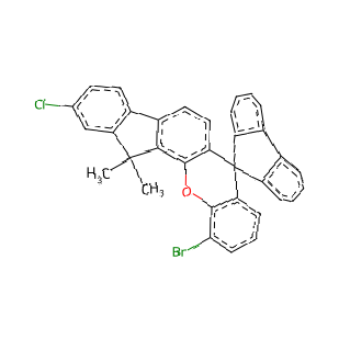 CC1(C)c2cc(Cl)ccc2-c2ccc3c(c21)Oc1c(Br)cccc1C31c2ccccc2-c2ccccc21